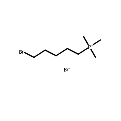 C[P+](C)(C)CCCCCBr.[Br-]